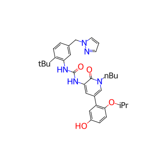 CCCCn1cc(-c2cc(O)ccc2OC(C)C)cc(NC(=O)Nc2cc(Cn3cccn3)ccc2C(C)(C)C)c1=O